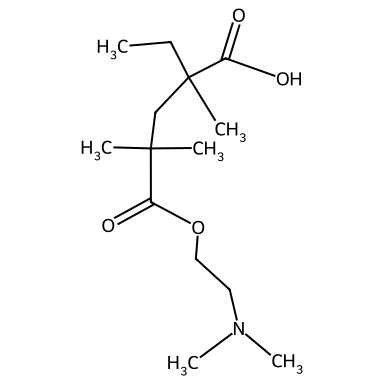 CCC(C)(CC(C)(C)C(=O)OCCN(C)C)C(=O)O